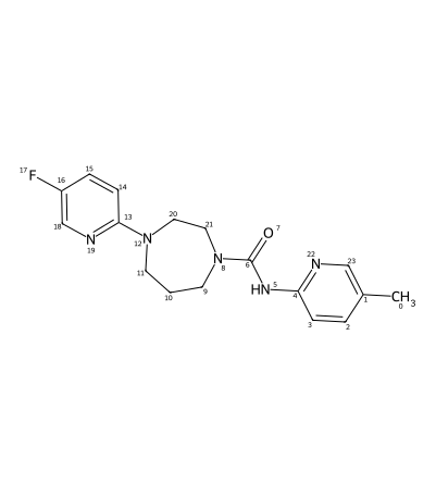 Cc1ccc(NC(=O)N2CCCN(c3ccc(F)cn3)CC2)nc1